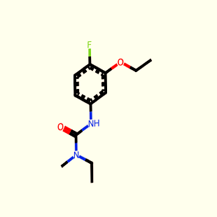 CCOc1cc(NC(=O)N(C)CC)ccc1F